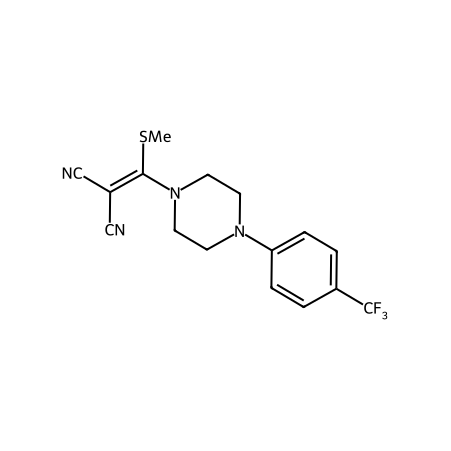 CSC(=C(C#N)C#N)N1CCN(c2ccc(C(F)(F)F)cc2)CC1